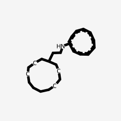 c1ccccc(NCCC2CCCCCCCCCCCC2)cccc1